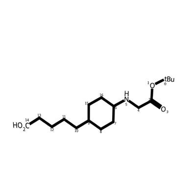 CC(C)(C)OC(=O)CNC1CCC(CCCCC(=O)O)CC1